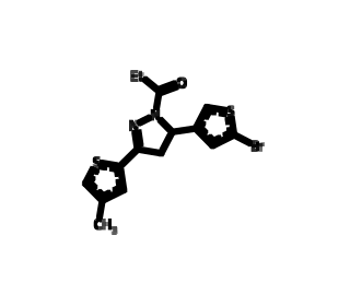 CCC(=O)N1N=C(c2cc(C)cs2)CC1c1csc(Br)c1